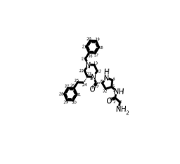 NCC(=O)NC1CN[C@@H](C(=O)N2CCN(Cc3ccccc3)C[C@H]2CCc2ccccc2)C1